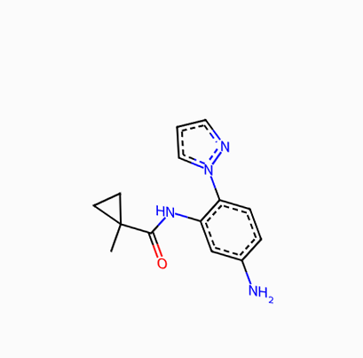 CC1(C(=O)Nc2cc(N)ccc2-n2cccn2)CC1